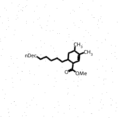 CCCCCCCCCCCCCCCC1CC(C)C(C)=CC1C(=O)OC